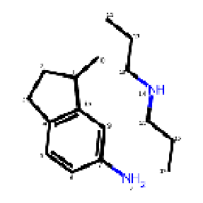 CC1CCc2ccc(N)cc21.CCCNCCC